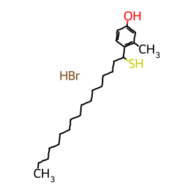 Br.CCCCCCCCCCCCCCCCC(S)c1ccc(O)cc1C